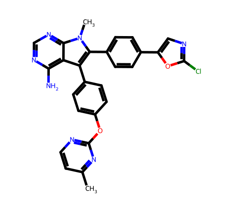 Cc1ccnc(Oc2ccc(-c3c(-c4ccc(-c5cnc(Cl)o5)cc4)n(C)c4ncnc(N)c34)cc2)n1